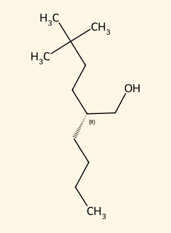 CCCC[C@@H](CO)CCC(C)(C)C